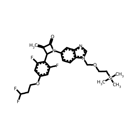 C=C1C(=O)N(c2ccc3c(c2)ncn3COCC[Si](C)(C)C)C1c1c(F)cc(OCCC(F)F)cc1F